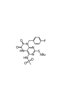 CCCCSc1nc(NS(C)(=O)=O)c2[nH]c(=O)c(=O)n(Cc3ccc(F)cc3)c2n1